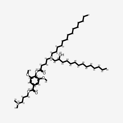 CCCCCCCCCCCCCCN(CCCC(=O)Oc1c(OC)cc(C(=O)OCCCN(C)C)cc1OC)CC(O)CCCCCCCCCCCC